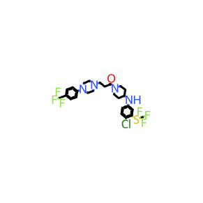 O=C(CCN1CCN(c2ccc(C(F)(F)F)cc2)CC1)N1CCC(Nc2ccc(Cl)c(SC(F)(F)F)c2)CC1